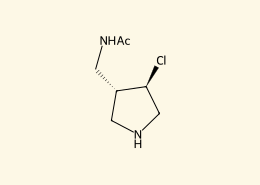 CC(=O)NC[C@H]1CNC[C@@H]1Cl